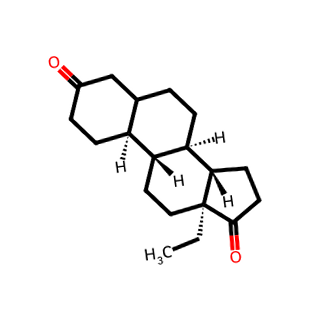 CC[C@]12CC[C@H]3[C@@H](CCC4CC(=O)CC[C@@H]43)[C@@H]1CCC2=O